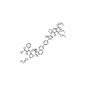 CC[C@H](C)[C@H](NC(=O)OC)C(=O)N1CCC[C@H]1c1ncc(-c2ccc(-c3ccc4c(ccc5nc([C@@H]6C[C@H](COC)CN6C(O)[C@H](NC(=O)C6CC6)c6ccccc6)[nH]c54)c3)cc2)[nH]1